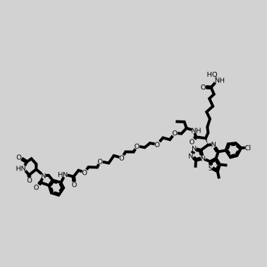 CCC(COCCOCCOCCOCCOCCOCC(=O)Nc1cccc2c1CN(C1CCC(=O)NC1=O)C2=O)NC(=O)C(CCCCCCCC(=O)NO)[C@@H]1N=C(c2ccc(Cl)cc2)c2c(sc(C)c2C)-n2c(C)nnc21